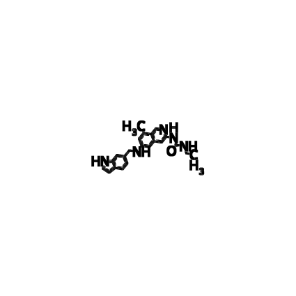 CCNC(=O)Nc1cc2cc(NCc3ccc4cc[nH]c4c3)cc(C)c2cn1